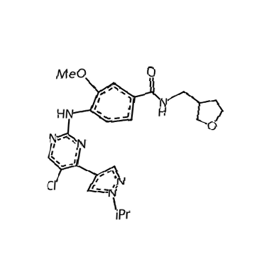 COc1cc(C(=O)NCC2CCOC2)ccc1Nc1ncc(Cl)c(-c2cnn(C(C)C)c2)n1